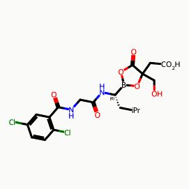 CC(C)C[C@H](NC(=O)CNC(=O)c1cc(Cl)ccc1Cl)B1OC(=O)C(CO)(CC(=O)O)O1